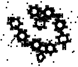 CCC1(CC)c2cnccc2-c2cnc(Nc3ccc(N4CCNCC4)cn3)nc21.c1cc2c(cn1)C1(CCOCC1)c1nc(Nc3ccc(N4CCNCC4)cn3)ncc1-2